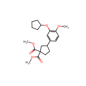 COC(=O)C1(C(=O)OC)CCC(c2ccc(OC)c(OC3CCCC3)c2)C1